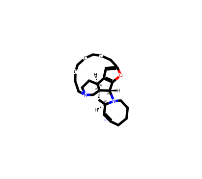 C1=C\[C@H]2C[C@@]34CN5CCCCCCCCc6cc(c(o6)[C@@H]3N2CCCC/1)[C@@H]4CC5